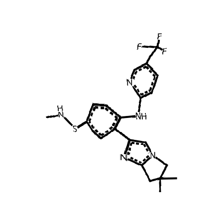 CNSc1ccc(Nc2ccc(C(F)(F)F)cn2)c(-c2cn3c(n2)CC(C)(C)C3)c1